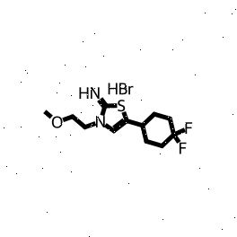 Br.COCCn1cc(C2CCC(F)(F)CC2)sc1=N